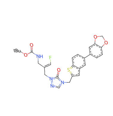 CC(C)(C)OC(=O)NCC(=CF)Cn1ncn(Cc2cc3cc(-c4ccc5c(c4)OCO5)ccc3s2)c1=O